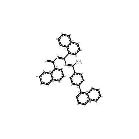 C=C(/N=C(\N=C(/N)c1ccc(-c2cccc3ccccc23)cc1)c1cccc2ccccc12)c1cccc2ccccc12